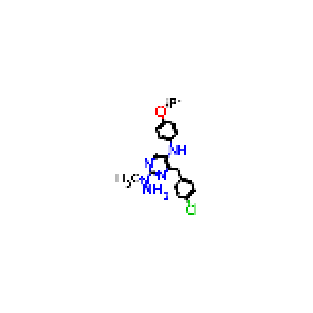 CC(C)Oc1ccc(Nc2cnc(N(C)N)nc2Cc2ccc(Cl)cc2)cc1